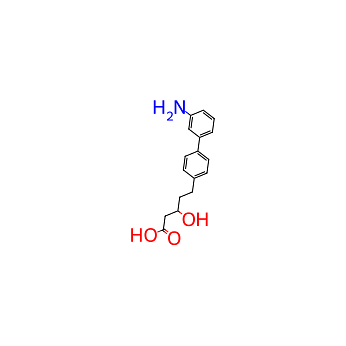 Nc1cccc(-c2ccc(CCC(O)CC(=O)O)cc2)c1